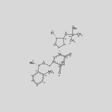 CC[C@H]1O[C@@H](n2cc(CO[C@H](c3ccccc3[N+](=O)[O-])C(C)(C)C)c(=O)[nH]c2=O)CC1O[Si](C)(C)C(C)(C)C